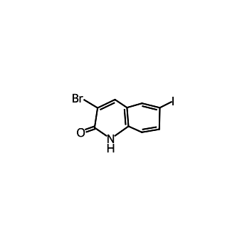 O=c1[nH]c2ccc(I)cc2cc1Br